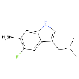 CC(C)Cc1c[nH]c2cc([SiH3])c(F)cc12